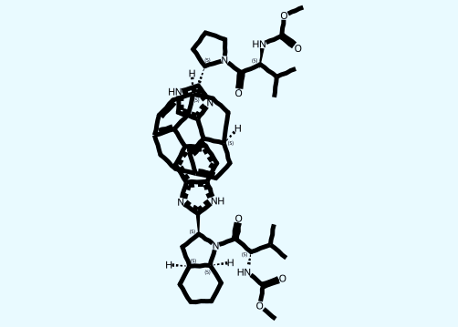 COC(=O)N[C@H](C(=O)N1CCC[C@H]1c1nc(C2=CC3=CC[C@@H]2CC[C@@H]2C=CC(=C(c4ccc5[nH]c([C@@H]6C[C@@H]7CCCC[C@@H]7N6C(=O)[C@@H](NC(=O)OC)C(C)C)nc5c4)C2)CC3)c[nH]1)C(C)C